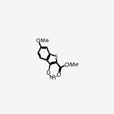 CCCOc1c(C(=O)OC)sc2cc(OC)ccc12